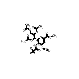 COC(=O)C1=C[C@H](N=[N+]=[N-])[C@@H](NC(=O)C(F)(F)F)[C@H](C(OC(C)=O)C(COC(C)=O)OC(C)=O)O1